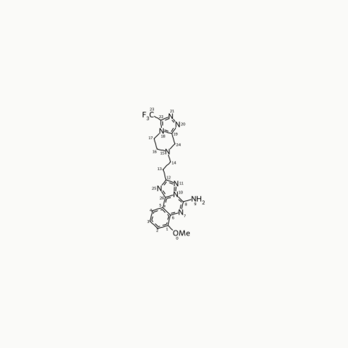 COc1cccc2c1nc(N)n1nc(CCN3CCn4c(nnc4C(F)(F)F)C3)nc21